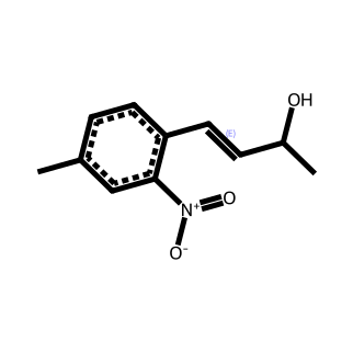 Cc1ccc(/C=C/C(C)O)c([N+](=O)[O-])c1